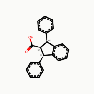 O=C(O)[C@@H]1[C@H](c2ccccc2)c2ccccc2[C@@H]1c1ccccc1